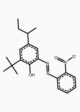 CCC(C)c1cc(N=Nc2ccccc2[N+](=O)[O-])c(O)c(C(C)(C)C)c1